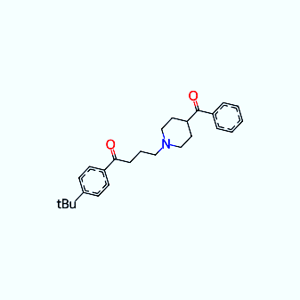 CC(C)(C)c1ccc(C(=O)CCCN2CCC(C(=O)c3ccccc3)CC2)cc1